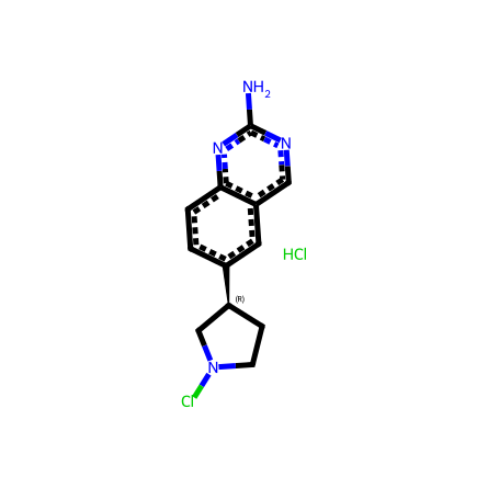 Cl.Nc1ncc2cc([C@H]3CCN(Cl)C3)ccc2n1